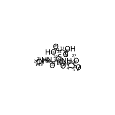 COc1ccc(C(=O)Nc2nc(C(=O)NCCn3cccc3)cs2)cc1OC.O=C(O)C=CC(=O)O